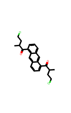 CC(CCCl)C(=O)c1cccc2cc3c(C(=O)C(C)CCCl)cccc3cc12